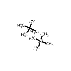 CC(C)(C)[O-].C[N+](C)(C)C